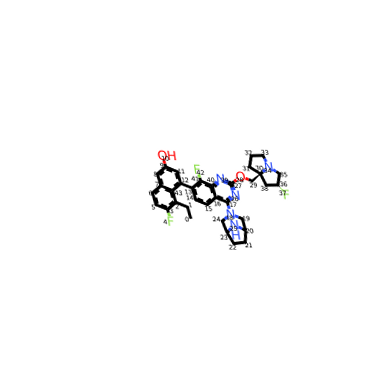 CCc1c(F)ccc2cc(O)cc(-c3ccc4c(N5CC6CCC(C5)N6)nc(OC[C@@]56CCCN5C[C@H](F)C6)nc4c3F)c12